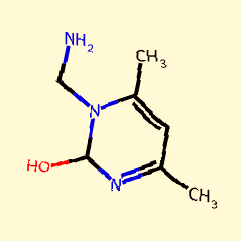 CC1=CC(C)=NC(O)N1CN